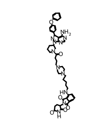 Nc1ncnc2c1c(-c1ccc(Oc3ccccc3)cc1)nn2C1CCCN(C(=O)CCCN2CCN(CCCCCNc3cccc4c3C(=O)N(C3CCC(=O)NC3=O)C4=O)CC2)C1